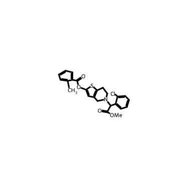 COC(=O)C(c1ccccc1Cl)N1CCc2sc(OC(=O)c3ccccc3C)cc2C1